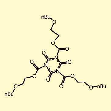 CCCCOCCOC(=O)n1c(=O)n(C(=O)OCCOCCCC)c(=O)n(C(=O)OCCOCCCC)c1=O